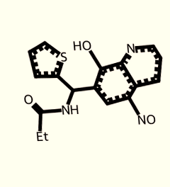 CCC(=O)NC(c1cccs1)c1cc(N=O)c2cccnc2c1O